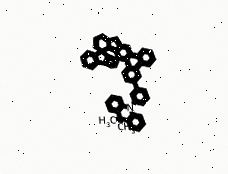 CC1(C)c2ccccc2N(c2cccc(-c3ccc4c(c3)c3ccccc3c3cc5c(cc43)=C3C(=CC=CC34c3ccccc3-c3ccccc34)C=5)c2)c2ccccc21